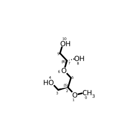 CO[C@@H](CO)CO[C@@H](O)CO